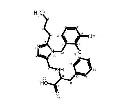 CCCCc1ncc(CN[C@@H](Cc2ccccc2)C(=O)O)n1Cc1cccc(Cl)c1Cl